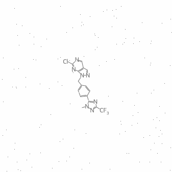 Cn1nc(C(F)(F)F)nc1-c1ccc(Cn2ncc3cnc(Cl)nc32)cc1